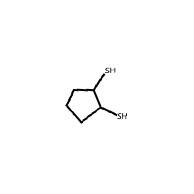 SC1CCCC1S